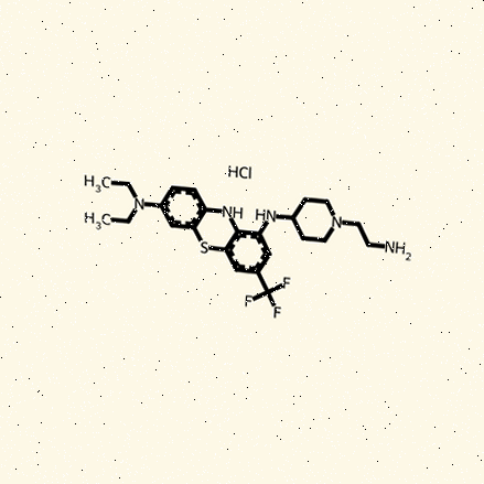 CCN(CC)c1ccc2c(c1)Sc1cc(C(F)(F)F)cc(NC3CCN(CCN)CC3)c1N2.Cl